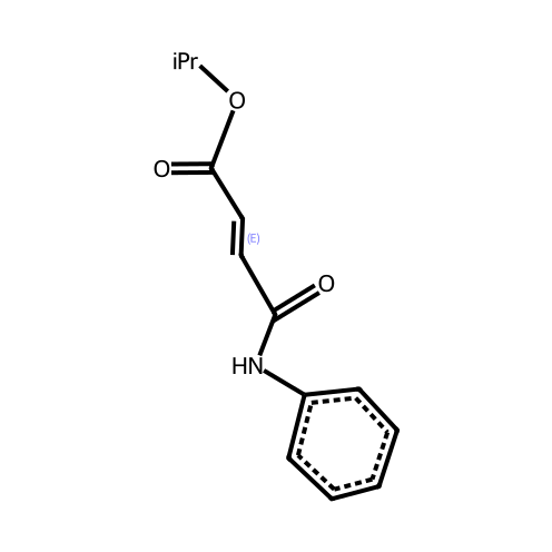 CC(C)OC(=O)/C=C/C(=O)Nc1ccccc1